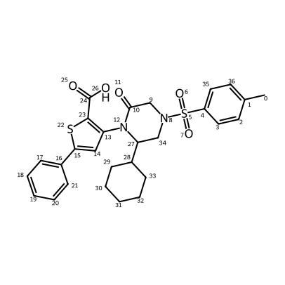 Cc1ccc(S(=O)(=O)N2CC(=O)N(c3cc(-c4ccccc4)sc3C(=O)O)C(C3CCCCC3)C2)cc1